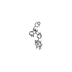 FC(F)(F)c1nc(-c2ccnc(-c3nn(CC4CCOCC4)c4cccnc34)c2)no1